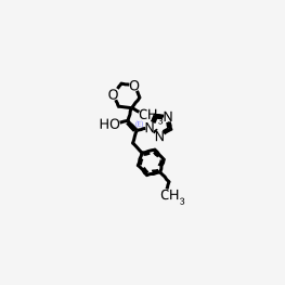 CCc1ccc(C/C(=C(\O)C2(C)COCOC2)n2cncn2)cc1